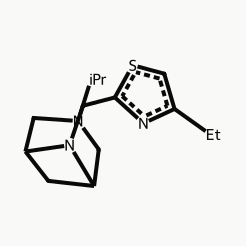 CCc1csc(CN2C3CC2CN(C(C)C)C3)n1